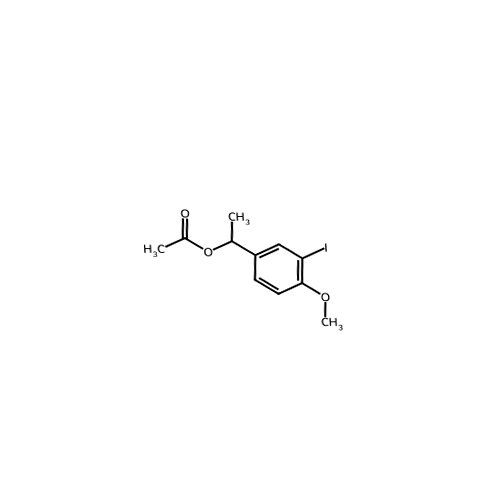 COc1ccc(C(C)OC(C)=O)cc1I